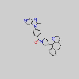 Cc1nc2cnccc2n1-c1ccc(C(=O)N2CCC(=C3c4ccccc4CCc4cccnc43)CC2)cc1